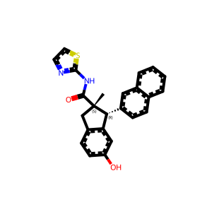 C[C@]1(C(=O)Nc2nccs2)Cc2ccc(O)cc2[C@H]1c1ccc2ccccc2c1